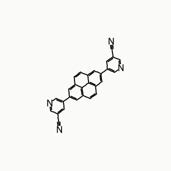 N#Cc1cncc(-c2cc3ccc4cc(-c5cncc(C#N)c5)cc5ccc(c2)c3c45)c1